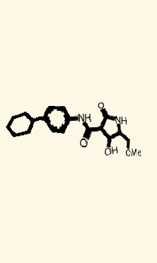 COCC1NC(=O)C(C(=O)Nc2ccc(C3CCCCC3)cc2)C1O